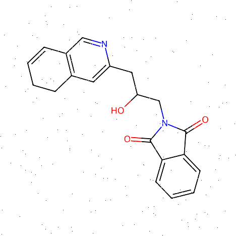 O=C1c2ccccc2C(=O)N1CC(O)Cc1cc2c(cn1)C=CCC2